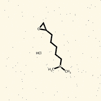 CN(C)CCCCCC1CO1.Cl